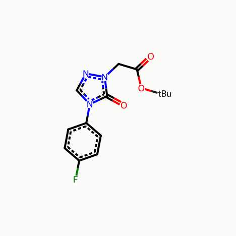 CC(C)(C)OC(=O)Cn1ncn(-c2ccc(F)cc2)c1=O